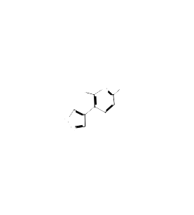 Cc1ccc(-c2cn[nH]c2)c(Cl)n1